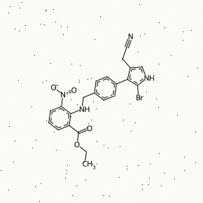 CCOC(=O)c1cccc([N+](=O)[O-])c1NCc1ccc(-c2c(CC#N)c[nH]c2Br)cc1